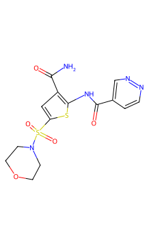 NC(=O)c1cc(S(=O)(=O)N2CCOCC2)sc1NC(=O)c1ccnnc1